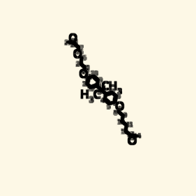 CC(C)(c1ccc(OCCCCCC2CO2)cc1)c1ccc(OCCCOCC2CO2)cc1